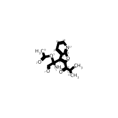 CC(=O)OC(N)(C=O)c1c(C(=O)C(C)C)oc2ncccc12